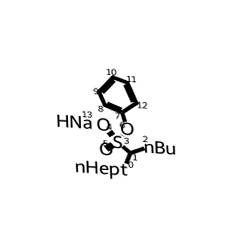 CCCCCCCC(CCCC)S(=O)(=O)Oc1ccccc1.[NaH]